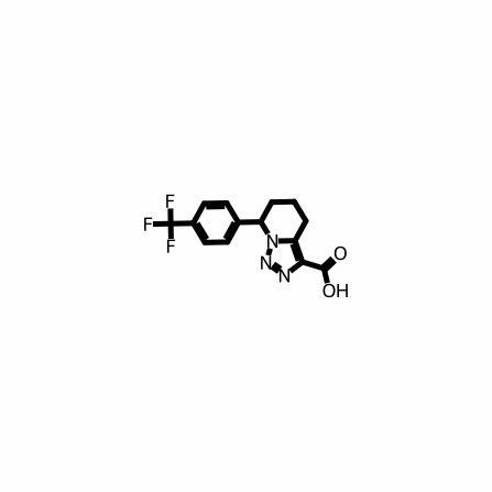 O=C(O)c1nnn2c1CCCC2c1ccc(C(F)(F)F)cc1